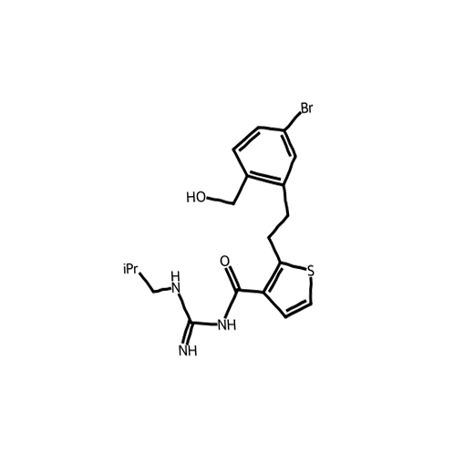 CC(C)CNC(=N)NC(=O)c1ccsc1CCc1cc(Br)ccc1CO